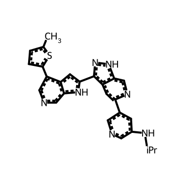 Cc1ccc(-c2cncc3[nH]c(-c4n[nH]c5cnc(-c6cncc(NC(C)C)c6)cc45)cc23)s1